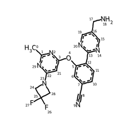 Cc1nc(Oc2cc(C#N)ccc2-c2ncc(CN)cn2)cc(N2CC(F)(F)C2)n1